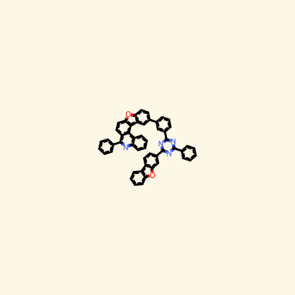 c1ccc(-c2nc(-c3cccc(-c4ccc5oc6ccc7c(-c8ccccc8)nc8ccccc8c7c6c5c4)c3)nc(-c3ccc4c(c3)oc3ccccc34)n2)cc1